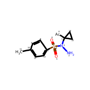 CC(=O)C1(N(N)S(=O)(=O)c2ccc(C)cc2)CC1